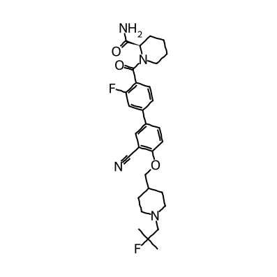 CC(C)(F)CN1CCC(COc2ccc(-c3ccc(C(=O)N4CCCC[C@@H]4C(N)=O)c(F)c3)cc2C#N)CC1